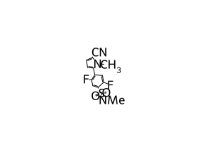 CNS(=O)(=O)c1cc(F)c(-c2ccc(C#N)n2C)cc1F